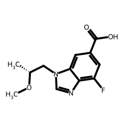 CO[C@H](C)Cn1cnc2c(F)cc(C(=O)O)cc21